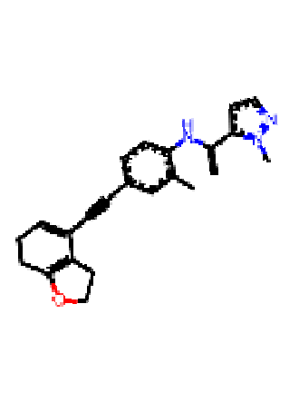 C=C(Nc1ccc(C#CC2=CCCC3=C2CCO3)cc1C)c1ccnn1C